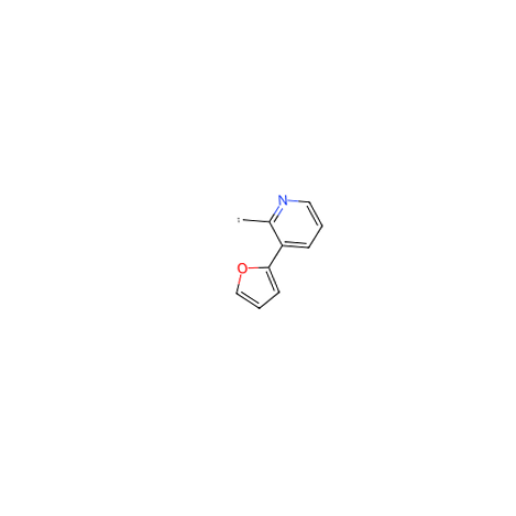 [CH]c1ncccc1-c1ccco1